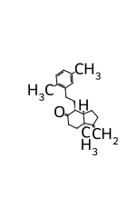 C=C1CC[C@H]2[C@H](CCc3cc(C)ccc3C)C(=O)CC[C@]12C